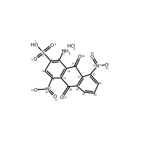 Cl.Nc1c(S(=O)(=O)O)cc([N+](=O)[O-])c2c1C(=O)c1c(cccc1[N+](=O)[O-])C2=O